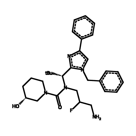 CC(C)(C)[C@H](c1nc(-c2ccccc2)cn1Cc1ccccc1)N(CC(F)CN)C(=O)N1CCC[C@@H](O)C1